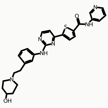 O=C(Nc1cccnc1)c1ccc(-c2ccnc(Nc3cccc(CCN4CCC(O)CC4)c3)n2)s1